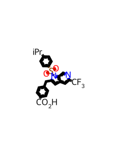 CC(C)c1ccc(S(=O)(=O)n2c(Cc3ccc(C(=O)O)cc3)cc3cc(C(F)(F)F)ncc32)cc1